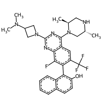 C[C@@H]1CN(c2nc(N3CC(N(C)C)C3)nc3c(F)c(-c4c(O)ccc5ccccc45)c(C(F)(F)F)cc23)[C@@H](C)CN1